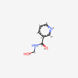 O=C(NCO)c1cccnc1